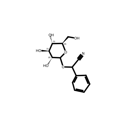 N#CC(OC1O[C@H](CO)[C@@H](O)[C@H](O)[C@H]1O)c1ccccc1